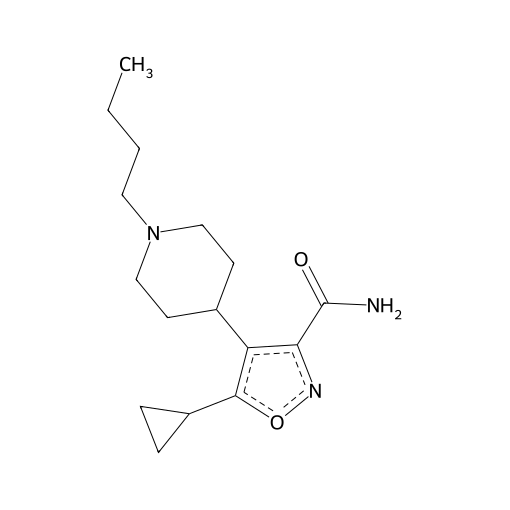 CCCCN1CCC(c2c(C(N)=O)noc2C2CC2)CC1